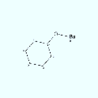 [CH2]CC(C)OC1CCCCC1